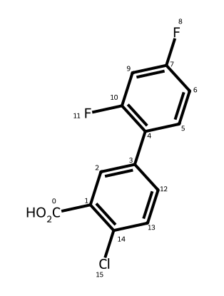 O=C(O)c1cc(-c2ccc(F)cc2F)ccc1Cl